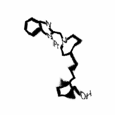 CC(C)n1c(CN2CCC(CCCc3ccccc3O)CC2)nc2ccccc21